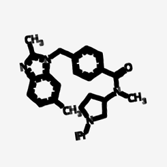 Cc1ccc2nc(C)n(Cc3ccc(C(=O)N(C)C4CCN(C(C)C)C4)cc3)c2c1